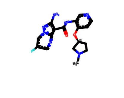 CN1CC[C@H](Oc2ccncc2NC(=O)c2c(N)nn3cc(F)cnc23)C1